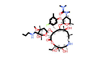 CCCNC[C@]1(O)[C@H](C)O[C@@H](O[C@H]2[C@H](C)[C@@H](O[C@@H]3O[C@H](C)C[C@H](N(C)C(=O)N(C)C)[C@H]3Oc3ccc(F)cc3C)[C@](C)(O)C[C@@H](C)CN[C@H](C)[C@@H](O)[C@](C)(O)[C@@H](CC)OC(=O)[C@@H]2C)C[C@@]1(C)OC